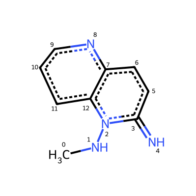 CNn1c(=N)ccc2ncccc21